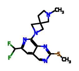 CSc1ncc2cc(C(F)F)nc(N3CC4(CCN(C)C4)C3)c2n1